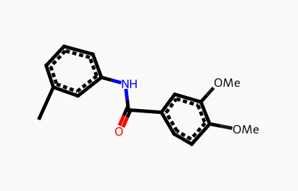 COc1ccc(C(=O)Nc2cccc(C)c2)cc1OC